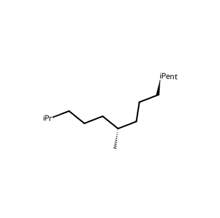 CCC[C@H](C)CCC[C@H](C)CCCC(C)C